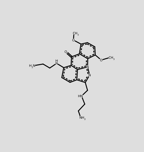 COc1ccc(OC)c2c1c(=O)c1c(NCCN)ccc3c(CNCCN)nn2c31